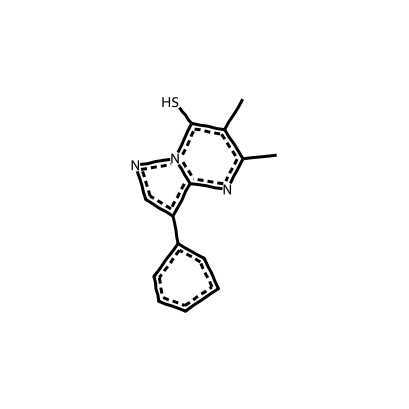 Cc1nc2c(-c3ccccc3)cnn2c(S)c1C